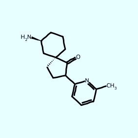 Cc1cccc(C2CC[C@]3(CCC[C@H](N)C3)C2=O)n1